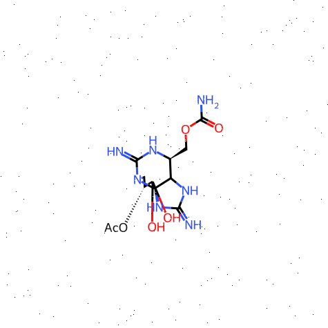 CC(=O)O[C@@H]1CN2C(=N)N[C@@H](COC(N)=O)C3NC(=N)N[C@@]32C1(O)O